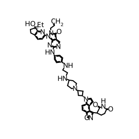 C=CCn1c(=O)c2cnc(Nc3ccc(NCCNC4CCN([C@H]5C[C@H](n6ccc7c8c(C9CCC(=O)NC9=O)noc8ccc76)C5)CC4)cc3)nc2n1-c1ccc2c(n1)[C@@](O)(CC)CC2